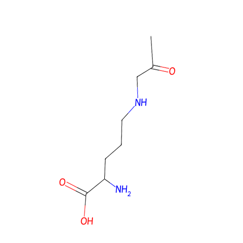 CC(=O)CNCCCC(N)C(=O)O